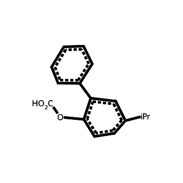 CC(C)c1ccc(OC(=O)O)c(-c2ccccc2)c1